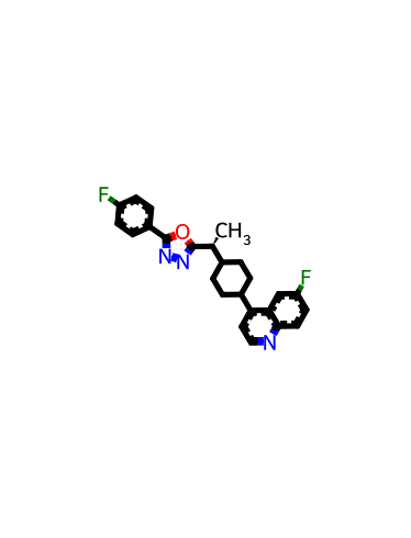 C[C@@H](c1nnc(-c2ccc(F)cc2)o1)C1CCC(c2ccnc3ccc(F)cc23)CC1